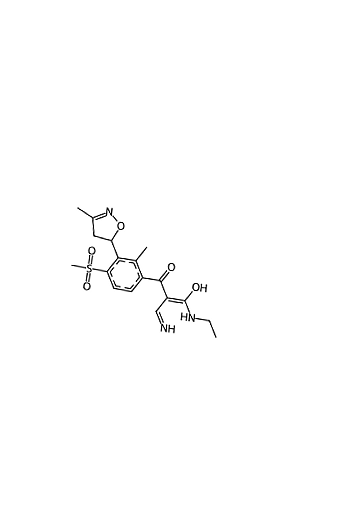 CCN/C(O)=C(\C=N)C(=O)c1ccc(S(C)(=O)=O)c(C2CC(C)=NO2)c1C